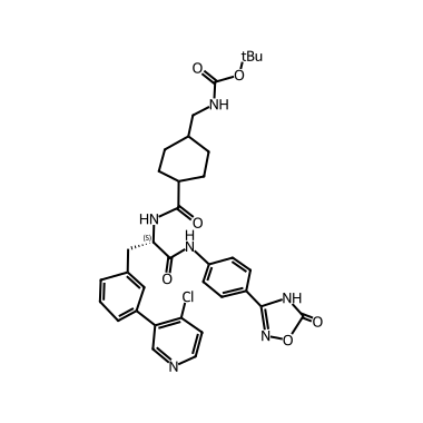 CC(C)(C)OC(=O)NCC1CCC(C(=O)N[C@@H](Cc2cccc(-c3cnccc3Cl)c2)C(=O)Nc2ccc(-c3noc(=O)[nH]3)cc2)CC1